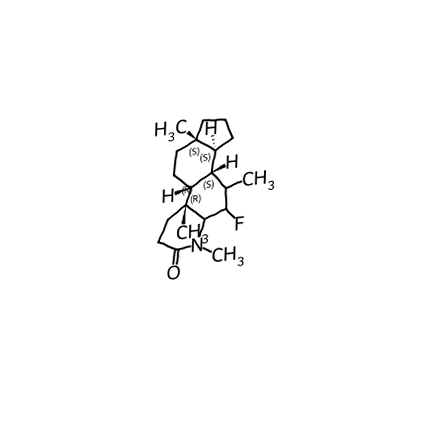 CC1C(F)C2N(C)C(=O)CC[C@]2(C)[C@@H]2CC[C@]3(C)CCC[C@H]3[C@H]12